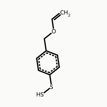 C=COCc1ccc(SS)cc1